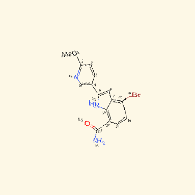 COc1ccc(-c2cc3c(Br)ccc(C(N)=O)c3[nH]2)cn1